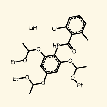 CCOC(C)Oc1cc(OC(C)OCC)c(PC(=O)c2c(C)cccc2Cl)c(OC(C)OCC)c1.[LiH]